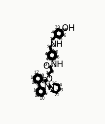 O=C(CCOC(=O)N(c1ccccc1-c1ccccc1)N1CC[CH]CC1)Nc1ccc(CNCc2ccc(O)cc2)cc1